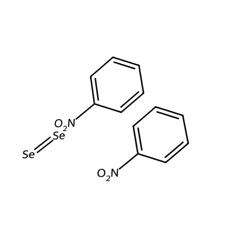 O=[N+]([O-])c1ccccc1.O=[N+]([O-])c1ccccc1.[Se]=[Se]